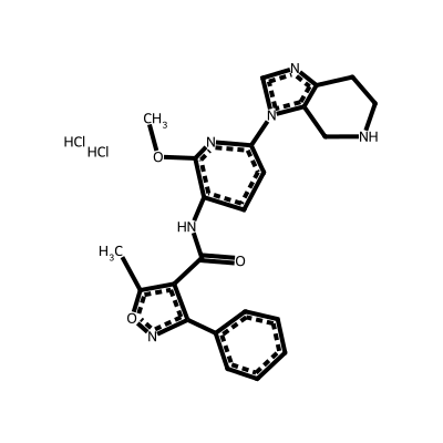 COc1nc(-n2cnc3c2CNCC3)ccc1NC(=O)c1c(-c2ccccc2)noc1C.Cl.Cl